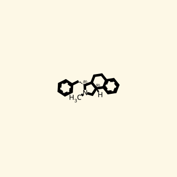 CN1C[C@H]2c3ccccc3CCC2[C@H]1Cc1ccccc1